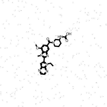 CCn1c(-c2nc3cc(C(=O)N4CCCC(NC(=O)O)C4)cc(OC)c3n2C)cc2nccnc21